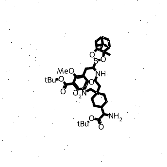 COc1c(CC(NC(=O)CC2(C[N+](=O)[O-])CCC(C(N)C(=O)OC(C)(C)C)CC2)B2OC3CC4CC(C4(C)C)C3(C)O2)cccc1C(=O)OC(C)(C)C